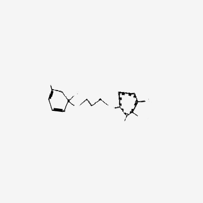 CCCc1c(OCCCOC2(Br)C=CC=C(C(=O)O)C2)ccc(C(C)=O)c1OC(C)=O